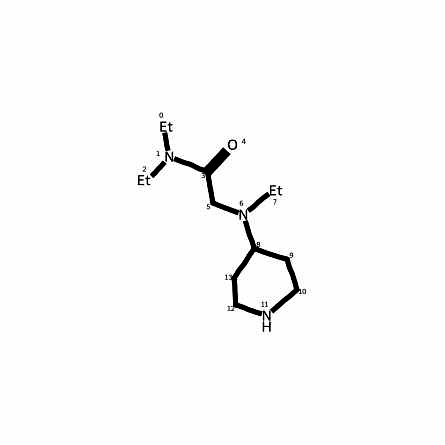 CCN(CC)C(=O)CN(CC)C1CCNCC1